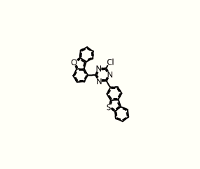 Clc1nc(-c2ccc3c(c2)sc2ccccc23)nc(-c2cccc3oc4ccccc4c23)n1